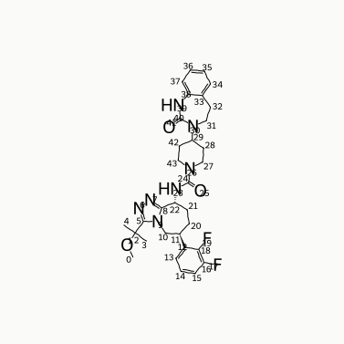 COC(C)(C)c1nnc2n1C[C@H](c1cccc(F)c1F)CC[C@H]2NC(=O)N1CCC(N2CCc3ccccc3NC2=O)CC1